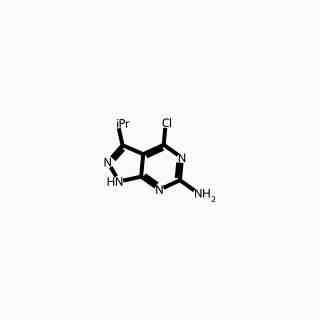 CC(C)c1n[nH]c2nc(N)nc(Cl)c12